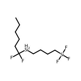 CCCCCC(F)(F)[SiH2]CCCC[Si](F)(F)F